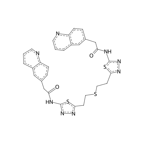 O=C(Cc1ccc2ncccc2c1)Nc1nnc(CCSCCc2nnc(NC(=O)Cc3ccc4ncccc4c3)s2)s1